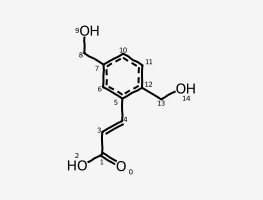 O=C(O)C=Cc1cc(CO)ccc1CO